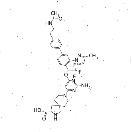 CC(=O)NCCc1ccc(-c2ccc([C@@H](Oc3cc(N4CCC5(CC4)CN[C@H](C(=O)O)C5)nc(N)n3)C(F)(F)F)c(-n3ccc(C)n3)c2)cc1